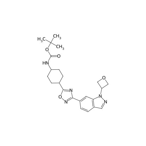 CC(C)(C)OC(=O)NC1CCC(c2nc(-c3ccc4cnn(C5COC5)c4c3)no2)CC1